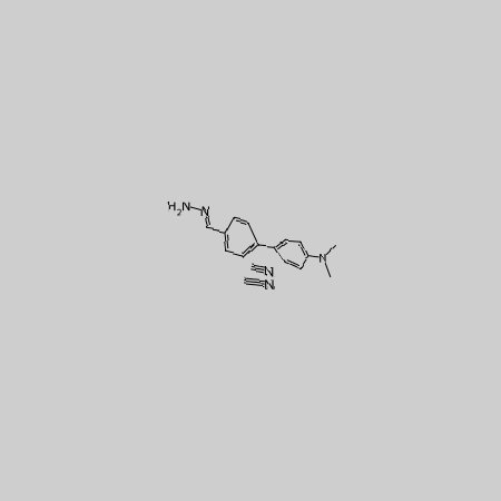 C#N.C#N.CN(C)c1ccc(-c2ccc(C=NN)cc2)cc1